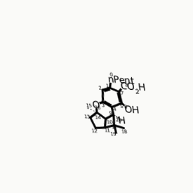 CCCCCc1cc2c(c(O)c1C(=O)O)[C@@H]1C3C(CC[C@@]3(C)O2)C1(C)C